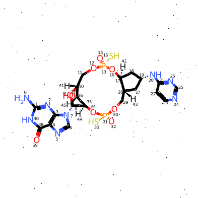 Nc1nc2c(ncn2[C@@H]2O[C@@H]3CO[P@](=O)(S)O[C@H]4C[C@H](Nc5ccncn5)C[C@@H]4CO[P@@](=O)(S)O[C@@H]2[C@@H]3O)c(=O)[nH]1